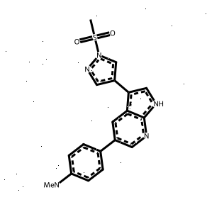 CNc1ccc(-c2cnc3[nH]cc(-c4cnn(S(C)(=O)=O)c4)c3c2)cc1